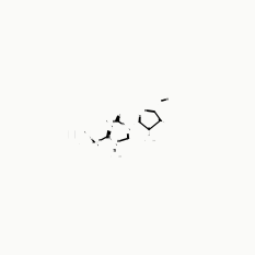 NNC1=NC(=O)N([C@@H]2O[C@H](CO)[C@@H](O)[C@H]2O)CN1O